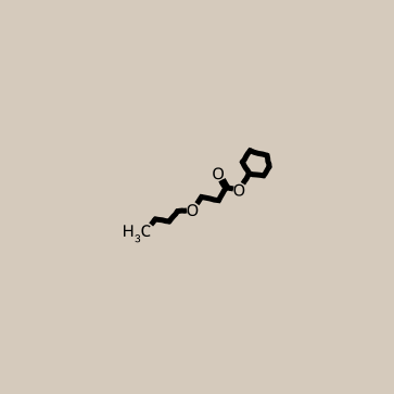 CCCCOCCC(=O)OC1CCCCC1